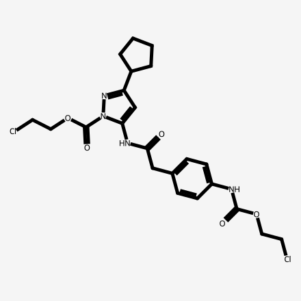 O=C(Cc1ccc(NC(=O)OCCCl)cc1)Nc1cc(C2CCCC2)nn1C(=O)OCCCl